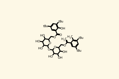 C=C(OCC1OC(OC2OC(COC(=O)c3cc(C(C)(C)C)cc(C(C)(C)C)c3O)C(O)C(O)C2O)C(O)C(O)C1O)c1cc(C(C)(C)C)cc(C(C)(C)C)c1C